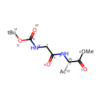 COC(=O)[C@@H](NC(=O)CNC(=O)OC(C)(C)C)C(C)=O